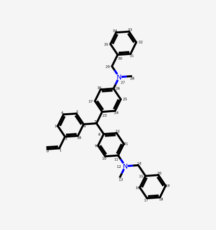 C=Cc1cccc(C(c2ccc(N(C)Cc3ccccc3)cc2)c2ccc(N(C)Cc3ccccc3)cc2)c1